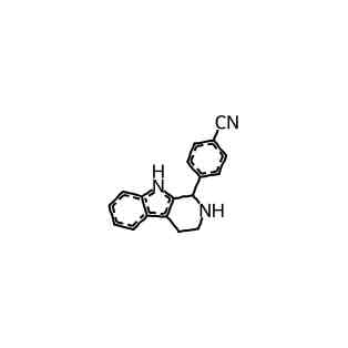 N#Cc1ccc(C2NCCc3c2[nH]c2ccccc32)cc1